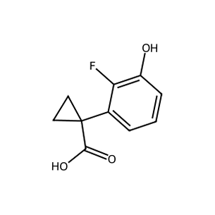 O=C(O)C1(c2cccc(O)c2F)CC1